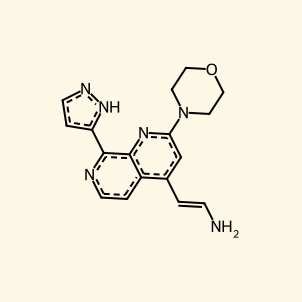 N/C=C/c1cc(N2CCOCC2)nc2c(-c3ccn[nH]3)nccc12